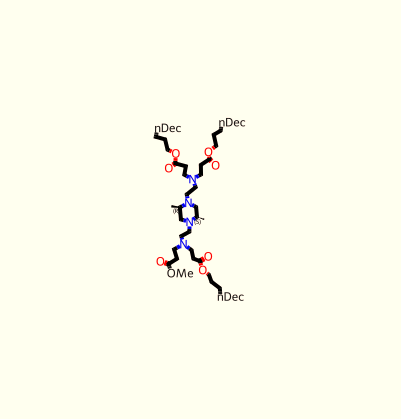 CCCCCCCCCCCCCOC(=O)CCN(CCC(=O)OCCCCCCCCCCCCC)CCN1C[C@H](C)N(CCN(CCC(=O)OC)CCC(=O)OCCCCCCCCCCCCC)C[C@H]1C